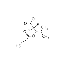 CC(C)C(OC(=O)CCS)C(F)(F)C(=O)O